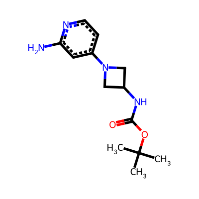 CC(C)(C)OC(=O)NC1CN(c2ccnc(N)c2)C1